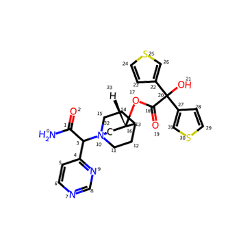 NC(=O)C(c1ccncn1)[N+]12CCC(CC1)[C@@H](OC(=O)C(O)(c1ccsc1)c1ccsc1)C2